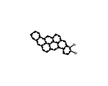 Brc1ccc2c(cc3ccc4cc5c6ccccc6cc6ccc7cc2c3c4c7c65)c1Br